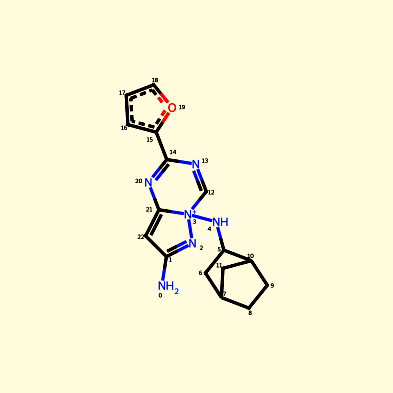 NC1=N[N+]2(NC3CC4CCC3C4)C=NC(c3ccco3)=NC2=C1